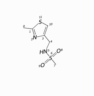 Cc1nc(CNS(C)(=O)=O)cs1